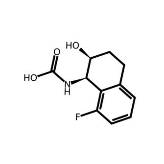 O=C(O)N[C@@H]1c2c(F)cccc2CC[C@@H]1O